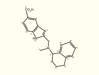 CN(Cc1nc2cc(C(=O)O)ccc2[nH]1)C1CCCc2cccnc21